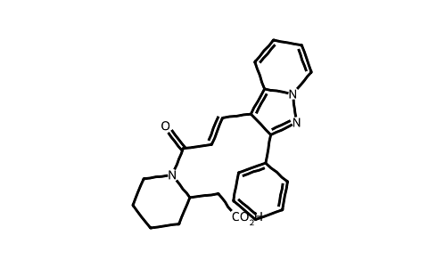 O=C(O)CC1CCCCN1C(=O)C=Cc1c(-c2ccccc2)nn2ccccc12